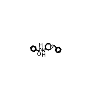 O=C(NNC1CCCN(Cc2ccccc2)CC1)c1ccccc1